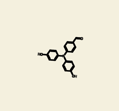 O=Cc1ccc(N(c2ccc(O)cc2)c2ccc(O)cc2)cc1